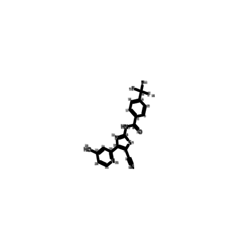 N#Cc1sc(NC(=O)c2ccc(C(F)(F)F)cc2)nc1-c1cc(O)ccn1